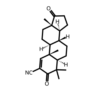 CC1(C)C(=O)C(C#N)=C[C@]2(C)[C@H]3CC[C@]4(C)C(=O)CC[C@H]4[C@@H]3CC[C@@H]12